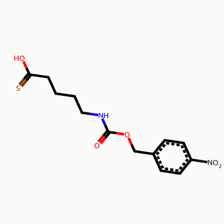 O=C(NCCCCC(O)=S)OCc1ccc([N+](=O)[O-])cc1